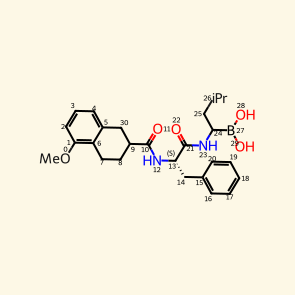 COc1cccc2c1CCC(C(=O)N[C@@H](Cc1ccccc1)C(=O)NC(CC(C)C)B(O)O)C2